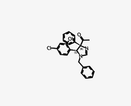 CC(=O)[C@]1(c2ccccc2)N=CN(Cc2ccccc2)[C@H]1c1ccc(Cl)cc1O